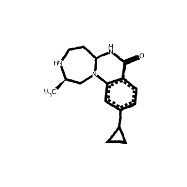 C[C@@H]1CN2c3cc(C4CC4)ccc3C(=O)NC2CCN1